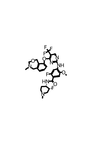 COc1cc(C(=O)N[C@H]2CCN(C)C[C@H]2F)c(F)cc1Nc1ncc(C(F)(F)F)c(Oc2cccc3c2COCN(C)C3)n1